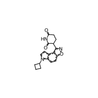 O=C1CCC(c2noc3ccc4c(ccn4C4CCC4)c23)C(=O)N1